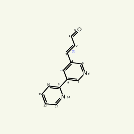 O=C/C=C/c1cncc(-c2ccccn2)c1